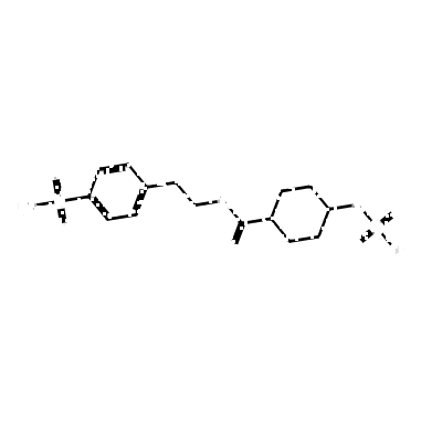 CC(C)S(=O)(=O)NC1CCC(C(=O)NCCc2ccc(S(N)(=O)=O)cc2)CC1